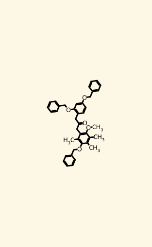 COc1c(C)c(C)c(OCc2ccccc2)c(C)c1CC(=O)Cc1ccc(OCc2ccccc2)cc1OCc1ccccc1